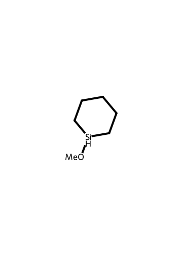 CO[SiH]1CCCCC1